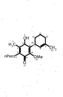 CCCCCC1=C(C)C(O)C([C@@H]2C=C(C)CCC2)=C(OC)C1=O